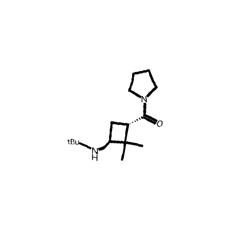 CC(C)(C)NC1C[C@H](C(=O)N2CCCC2)C1(C)C